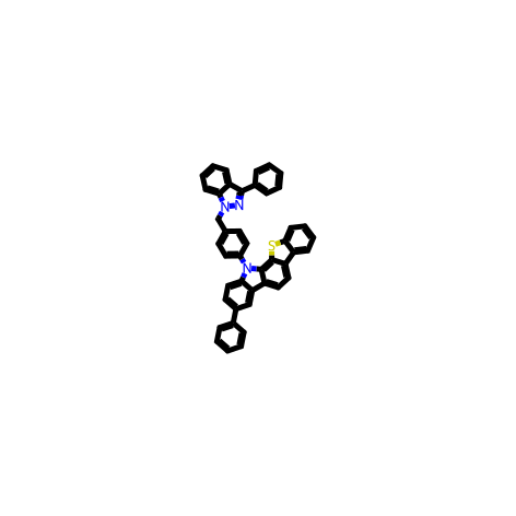 c1ccc(-c2ccc3c(c2)c2ccc4c5ccccc5sc4c2n3-c2ccc(Cn3nc(-c4ccccc4)c4ccccc43)cc2)cc1